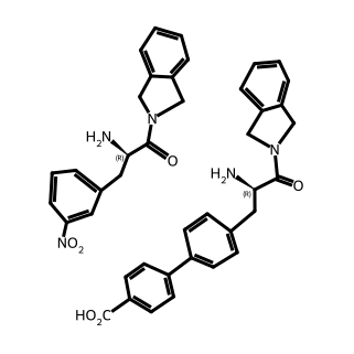 N[C@H](Cc1ccc(-c2ccc(C(=O)O)cc2)cc1)C(=O)N1Cc2ccccc2C1.N[C@H](Cc1cccc([N+](=O)[O-])c1)C(=O)N1Cc2ccccc2C1